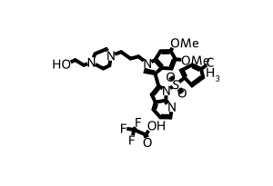 COc1cc2c(-c3cc4cccnc4n3S(=O)(=O)c3ccc(C)cc3)cn(CCCN3CCN(CCO)CC3)c2cc1OC.O=C(O)C(F)(F)F